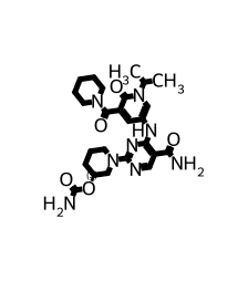 CC(C)n1cc(Nc2nc(N3CCC[C@H](OC(N)=O)C3)ncc2C(N)=O)cc(C(=O)N2CCCCC2)c1=O